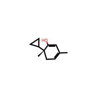 CC1=CC[C@](C)(C2CC2)C(O)=C1